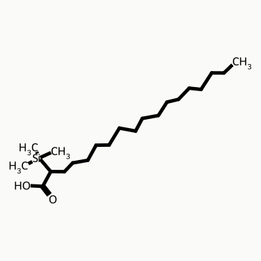 CCCCCCCCCCCCCCCCC(C(=O)O)[Si](C)(C)C